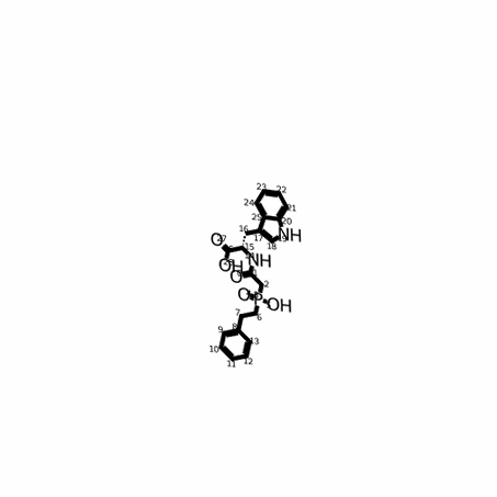 O=C(CP(=O)(O)CCc1ccccc1)N[C@@H](Cc1c[nH]c2ccccc12)C(=O)O